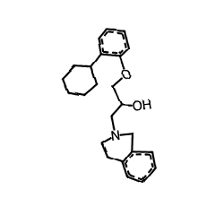 OC(COc1ccccc1C1CCCCC1)CN1CCc2ccccc2C1